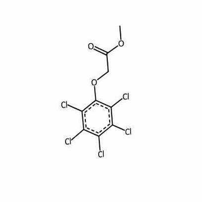 COC(=O)COc1c(Cl)c(Cl)c(Cl)c(Cl)c1Cl